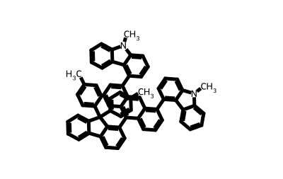 Cc1ccc(C2(c3ccc(C)cc3)c3ccccc3-c3cccc(-c4c5cccc(-c6cccc7c6c6ccccc6n7C)c5cc5c(-c6cccc7c6c6ccccc6n7C)cccc45)c32)cc1